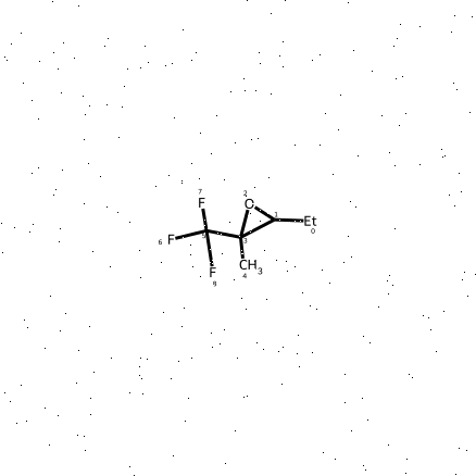 CCC1OC1(C)C(F)(F)F